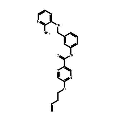 C=CCCOc1cnc(C(=O)Nc2cccc(CNc3cccnc3N)c2)cn1